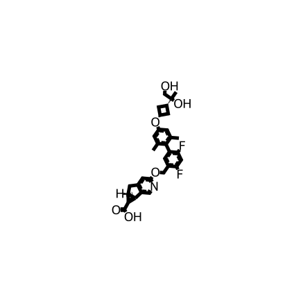 Cc1cc(O[C@H]2C[C@@H](C(C)(O)CO)C2)cc(C)c1-c1cc(COc2cc3c(cn2)C2=C(C(=O)O)[C@@H]2C3)c(F)cc1F